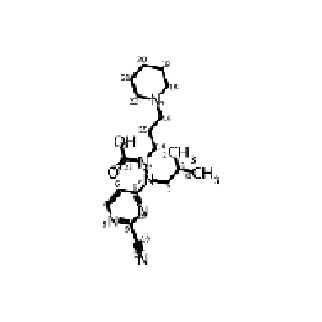 CC(C)CN(c1ccnc(C#N)n1)N(CCCN1CCCCC1)C(=O)O